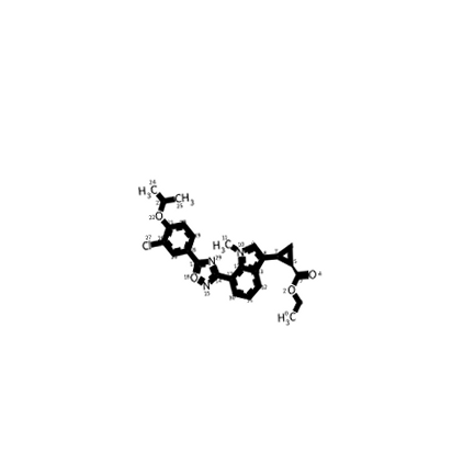 CCOC(=O)[C@@H]1CC1c1cn(C)c2c(-c3noc(-c4ccc(OC(C)C)c(Cl)c4)n3)cccc12